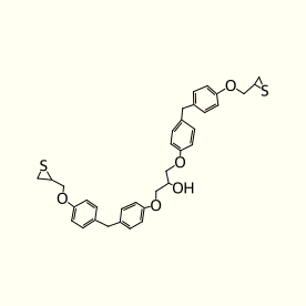 OC(COc1ccc(Cc2ccc(OCC3CS3)cc2)cc1)COc1ccc(Cc2ccc(OCC3CS3)cc2)cc1